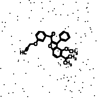 C#CCOc1cccc(C(=O)c2oc3ccc(C(=C)C)c(OC)c3c2-c2ccccc2)c1